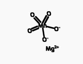 [Mg+2].[O]=[Mn](=[O])(=[O])([O-])[O-]